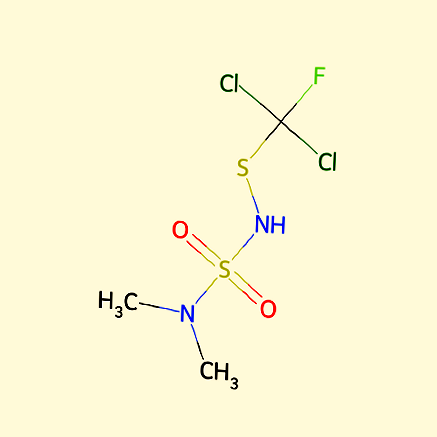 CN(C)S(=O)(=O)NSC(F)(Cl)Cl